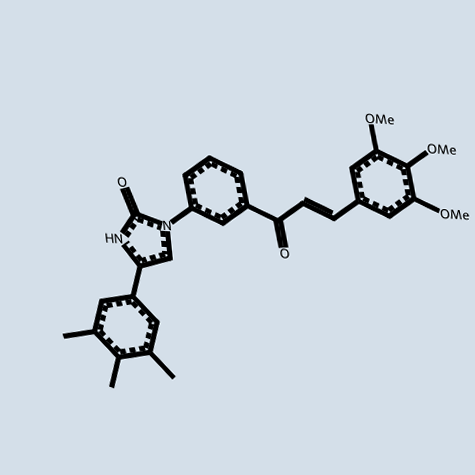 COc1cc(C=CC(=O)c2cccc(-n3cc(-c4cc(C)c(C)c(C)c4)[nH]c3=O)c2)cc(OC)c1OC